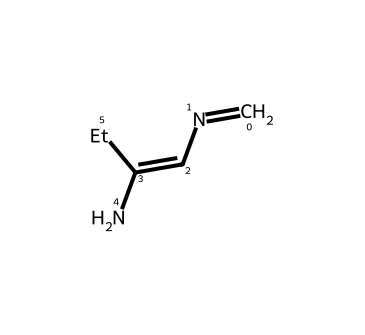 C=N/C=C(/N)CC